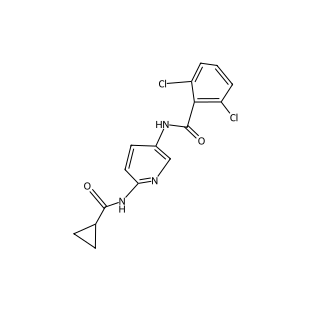 O=C(Nc1ccc(NC(=O)C2CC2)nc1)c1c(Cl)cccc1Cl